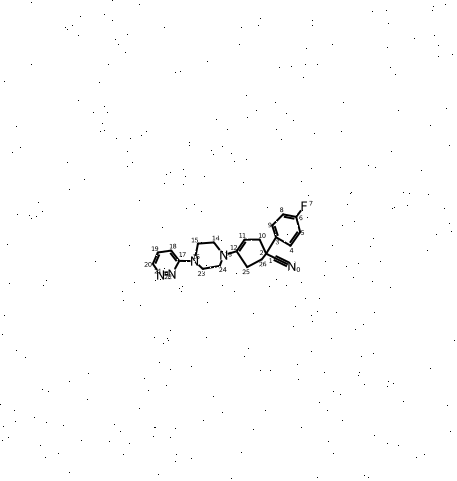 N#CC1(c2ccc(F)cc2)CC=C(N2CCN(c3cccnn3)CC2)CC1